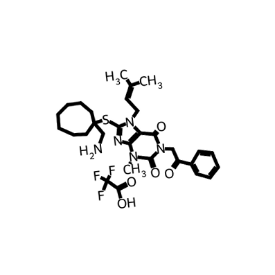 CC(C)=CCn1c(SC2(CN)CCCCCCC2)nc2c1c(=O)n(CC(=O)c1ccccc1)c(=O)n2C.O=C(O)C(F)(F)F